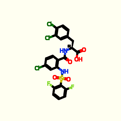 O=C(N[C@@H](Cc1ccc(Cl)c(Cl)c1)C(=O)O)c1ccc(Cl)cc1NS(=O)(=O)c1c(F)cccc1F